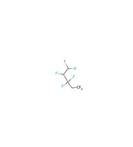 F[C](F)C(F)C(F)(F)CC(F)(F)F